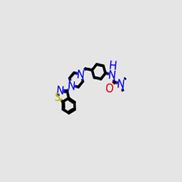 CN(C)C(=O)NC1CCC(CN2CCN(c3nsc4ccccc34)CC2)CC1